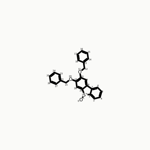 [O-][s+]1c2ccccc2c2cc(OCc3ccccc3)c(OCc3ccccc3)cc21